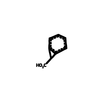 O=C(O)C1c2ccccc21